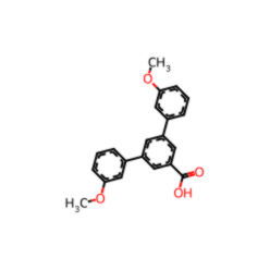 COc1cccc(-c2cc(C(=O)O)cc(-c3cccc(OC)c3)c2)c1